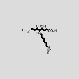 [N-]=[N+]=NCCCCCCNC(C(O)CCC(=O)O)C(O)CCC(=O)O